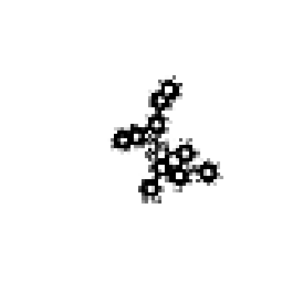 c1ccc(-c2ccc3c(-c4cccc5c4c4ccccc4n5-c4ccccc4)nc(-n4c5ccc(-c6ccc7ccccc7c6)cc5c5cc6ccccc6cc54)nc3c2)cc1